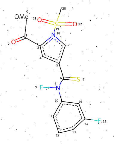 COC(=O)c1cc(C(=S)N(F)c2cccc(F)c2)cn1S(C)(=O)=O